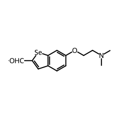 CN(C)CCOc1ccc2cc([C]=O)[se]c2c1